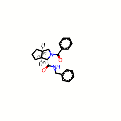 O=C(NCc1ccccc1)[C@@H]1[C@H]2CCC[C@H]2CN1C(=O)c1ccccc1